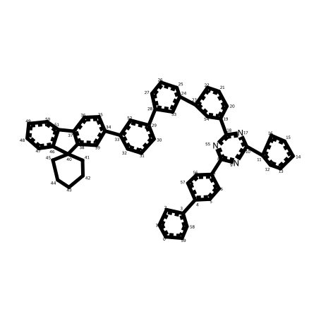 c1ccc(-c2ccc(-c3nc(-c4ccccc4)nc(-c4cccc(-c5cccc(-c6cccc(-c7ccc8c(c7)C7(CCCCC7)c7ccccc7-8)c6)c5)c4)n3)cc2)cc1